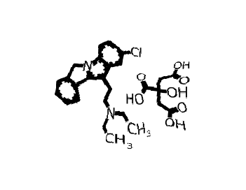 CCN(CC)CCc1c2n(c3ccc(Cl)cc13)Cc1ccccc1-2.O=C(O)CC(O)(CC(=O)O)C(=O)O